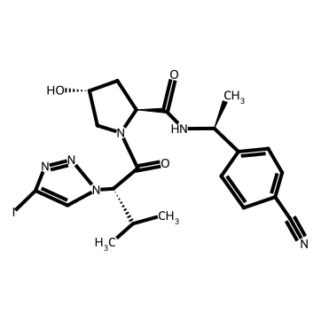 CC(C)[C@@H](C(=O)N1C[C@H](O)C[C@H]1C(=O)N[C@@H](C)c1ccc(C#N)cc1)n1cc(I)nn1